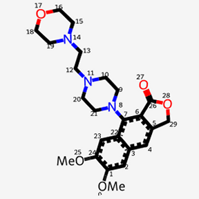 COc1cc2cc3c(c(N4CCN(CCN5CCOCC5)CC4)c2cc1OC)C(=O)OC3